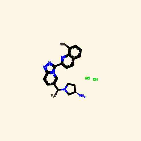 CC(C)(C)c1cccc2ccc(-c3nnc4ccc([C@@H](N5CC[C@H](N)C5)C(F)(F)F)cn34)nc12.Cl.Cl